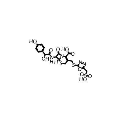 O=C(O)C1=C(CSc2nnc(CS(=O)(=O)O)o2)CS[C@H]2C(NC(=O)C(O)c3ccc(O)cc3)C(=O)N12